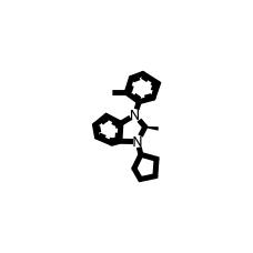 Cc1ccccc1N1c2ccccc2N(C2CCCC2)[C@@H]1C